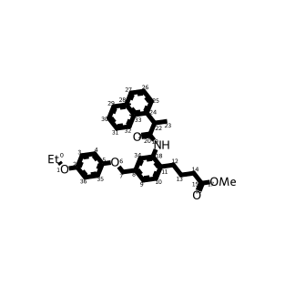 CCOc1ccc(OCc2ccc(CCCC(=O)OC)c(NC(=O)C(C)c3cccc4ccccc34)c2)cc1